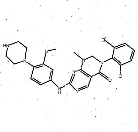 COc1cc(Nc2ncc3c(n2)N(C)CN(c2c(Cl)cccc2Cl)C3=O)ccc1N1CCNCC1